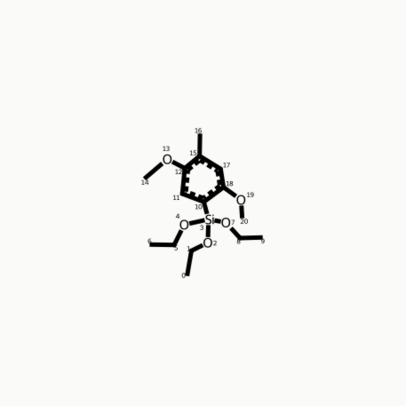 CCO[Si](OCC)(OCC)c1cc(OC)c(C)cc1OC